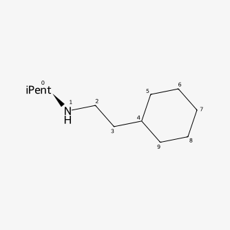 CCC[C@H](C)NCCC1CCCCC1